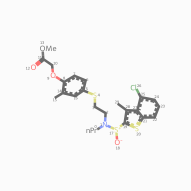 CCCN(CCSc1ccc(OCC(=O)OC)c(C)c1)[S+]([O-])c1sc2cccc(Cl)c2c1C